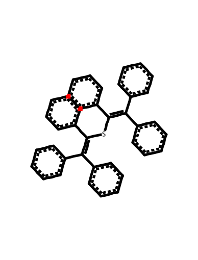 c1ccc(C(SC(=C(c2ccccc2)c2ccccc2)c2ccccc2)=C(c2ccccc2)c2ccccc2)cc1